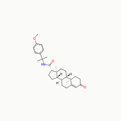 COc1ccc(C(C)(C)NC(=O)[C@H]2CC[C@H]3[C@@H]4CCC5=CC(=O)CC[C@]5(C)[C@H]4CC[C@]23C)cc1